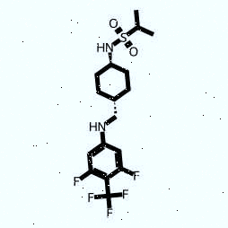 CC(C)S(=O)(=O)N[C@H]1CC[C@H](CNc2cc(F)c(C(F)(F)F)c(F)c2)CC1